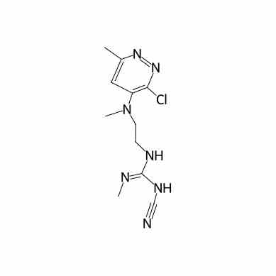 CN=C(NC#N)NCCN(C)c1cc(C)nnc1Cl